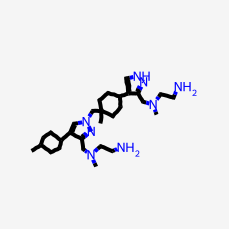 CC1CCC(c2cn(CC3(C)CCC(c4c[nH]nc4CN(C)CCN)CC3)nc2CN(C)CCN)CC1